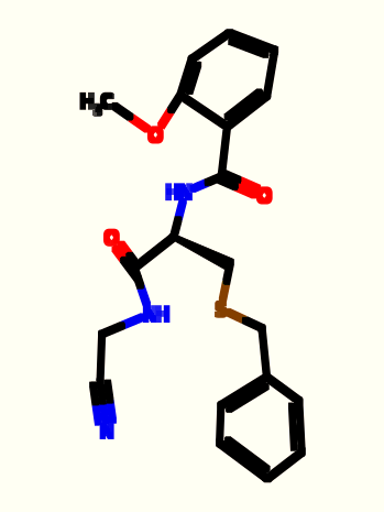 COc1ccccc1C(=O)N[C@@H](CSCc1ccccc1)C(=O)NCC#N